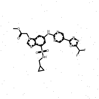 COC(=O)Cn1cnc2c(S(=O)(=O)NCC3CC3)cc(Nc3ncc(-c4nnc(C(F)F)o4)cn3)cc21